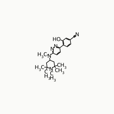 CN(c1ccc(-c2ccc(C#N)cc2O)nn1)C1CC(C)(C)N(C)C(C)(C)C1